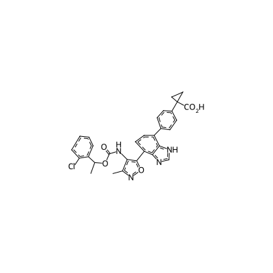 Cc1noc(-c2ccc(-c3ccc(C4(C(=O)O)CC4)cc3)c3[nH]cnc23)c1NC(=O)OC(C)c1ccccc1Cl